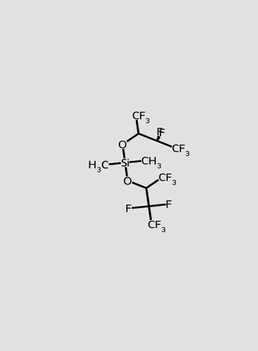 C[Si](C)(OC(C(F)(F)F)C(F)(F)C(F)(F)F)OC(C(F)(F)F)C(F)(F)C(F)(F)F